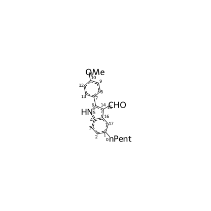 CCCCCc1ccc2[nH]c(-c3ccc(OC)cc3)c(C=O)c2c1